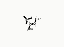 CC(=O)OOOC(C)(C)C.CN(C)C